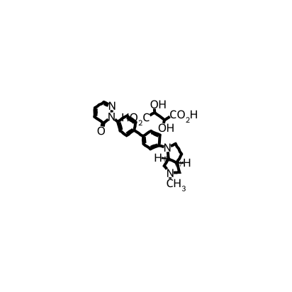 CN1C[C@H]2CCN(c3ccc(-c4ccc(-n5ncccc5=O)cc4)cc3)[C@H]2C1.O=C(O)C(O)C(O)C(=O)O